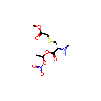 CN[C@@H](CSCC(=O)OC)C(=O)OC(C)O[N+](=O)[O-]